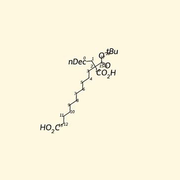 CCCCCCCCCCCC(CCCCCCCCCCC(=O)O)(C(=O)O)C(=O)OC(C)(C)C